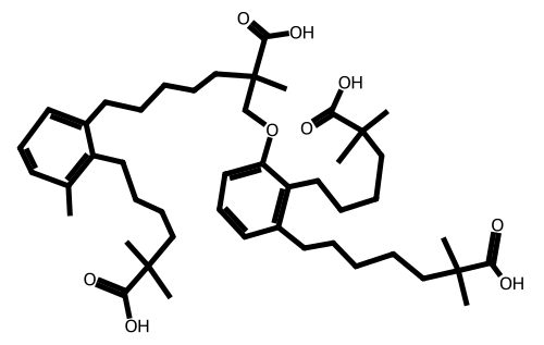 Cc1cccc(CCCCCC(C)(COc2cccc(CCCCCC(C)(C)C(=O)O)c2CCCCC(C)(C)C(=O)O)C(=O)O)c1CCCCC(C)(C)C(=O)O